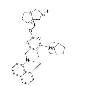 C#Cc1cccc2cccc(N3CCc4c(nc(OC[C@@]56CCCN5C[C@H](F)C6)nc4C4CC5CCC(C4)N5)C3)c12